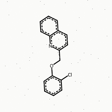 Clc1ccccc1OCc1ccc2ccccc2n1